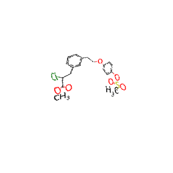 COC(=O)C(Cl)Cc1cccc(CCOc2ccc(OS(C)(=O)=O)cc2)c1